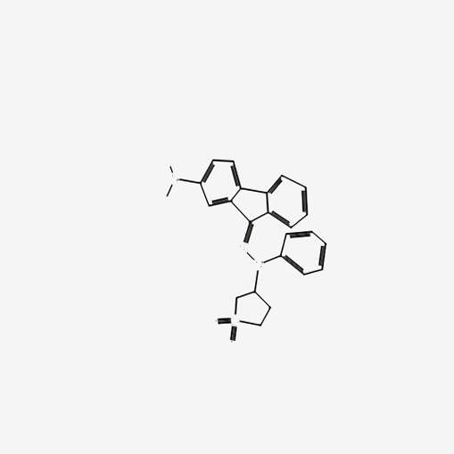 CN(C)c1ccc2c(c1)/C(=N/N(c1ccccc1)C1CCS(=O)(=O)C1)c1ccccc1-2